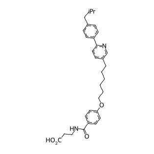 CC(C)Cc1ccc(-c2ccc(CCCCCCOc3ccc(C(=O)NCCC(=O)O)cc3)cn2)cc1